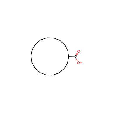 O=C(O)C1CCCCCCCCCCCCCCCCC1